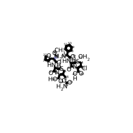 CO/N=C(/C(=O)N[C@@H]1C(=O)N2C(C(=O)O)=C(COC(N)=O)CS[C@H]12)c1ccco1.N[C@@H](C(=O)N[C@@H]1C(=O)N2C(C(=O)O)=C(Cl)CS[C@H]12)c1ccccc1.O